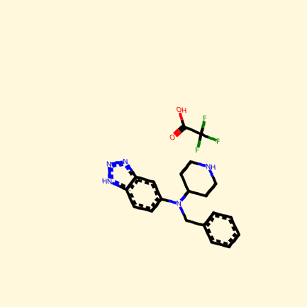 O=C(O)C(F)(F)F.c1ccc(CN(c2ccc3[nH]nnc3c2)C2CCNCC2)cc1